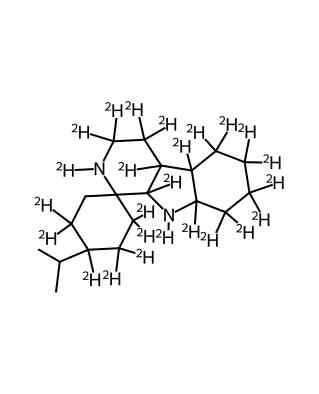 [2H]N1C2([2H])C([2H])([2H])C([2H])([2H])C([2H])([2H])C([2H])([2H])C2([2H])C2([2H])C([2H])([2H])C([2H])([2H])N([2H])C3(CC([2H])([2H])C([2H])(C(C)C)C([2H])([2H])C3([2H])[2H])C12[2H]